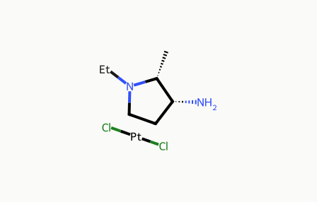 CCN1CC[C@@H](N)[C@H]1C.[Cl][Pt][Cl]